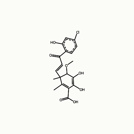 COC1C(O)=C(O)C(C(=O)O)=C(C)C1(C)C=CC(=O)c1ccc(Cl)cc1O